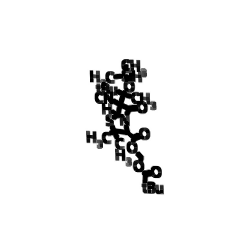 [C-]#[N+]C1(C(C)(O[SiH](C)C)C(C)(C)C)C(=O)N2[C@@H](C(=O)OCOC(=O)C(C)(C)C)C(C)(C)S[C@@H]21